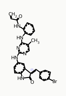 C=CC(=O)Nc1ccccc1Nc1nc(Nc2ccc3c(c2)/C(=C/c2ccc(Br)cc2)C(=O)N3)ncc1C